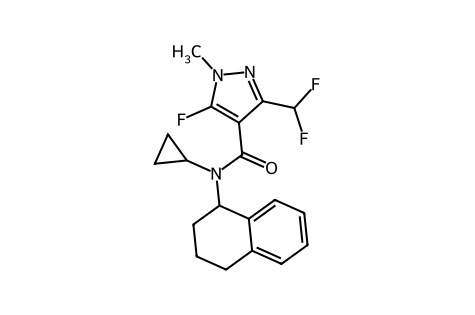 Cn1nc(C(F)F)c(C(=O)N(C2CC2)C2CCCc3ccccc32)c1F